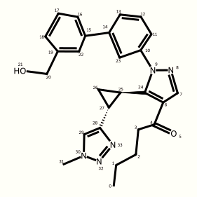 CCCCC(=O)c1cnn(-c2cccc(-c3cccc(CO)c3)c2)c1[C@@H]1C[C@H]1c1cn(C)nn1